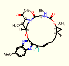 COc1ccc2nc3c(nc2c1)O[C@H]1CN(C(=O)[C@H](C(C)(C)C)NC(=O)O[C@@]2(C)C[C@@H]2CC/C=C/C3(F)F)[C@H](C(=O)OCC(C)C)[C@@H]1C